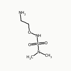 CN(C)S(=O)(=O)NOCCN